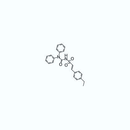 CCc1ccc(C=CS(=O)(=O)NC(=O)N(c2ccccc2)c2ccccc2)cc1